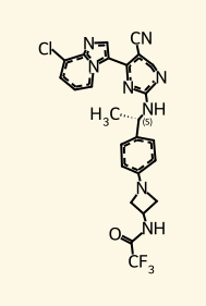 C[C@H](Nc1ncc(C#N)c(-c2cnc3c(Cl)cccn23)n1)c1ccc(N2CC(NC(=O)C(F)(F)F)C2)cc1